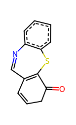 O=C1CC=CC2=C1Sc1ccccc1N=C2